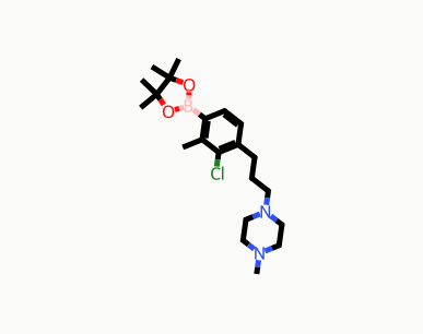 Cc1c(B2OC(C)(C)C(C)(C)O2)ccc(CCCN2CCN(C)CC2)c1Cl